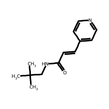 CC(C)(C)CNC(=O)/C=C/c1ccncc1